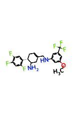 COc1cc(NCC2=CC[C@@H](c3cc(F)c(F)cc3F)[C@H](N)C2)cc(C(F)(F)F)c1